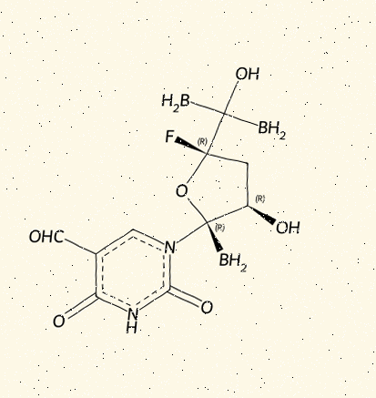 BC(B)(O)[C@]1(F)C[C@@H](O)[C@](B)(n2cc(C=O)c(=O)[nH]c2=O)O1